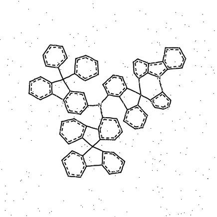 c1ccc(C2(c3ccccc3)c3ccccc3-c3ccc(N(c4cccc5c4-c4ccccc4C54c5ccccc5-c5ccccc54)c4cccc5c4-c4ccccc4C54c5ccccc5-n5c6ccccc6c6cccc4c65)cc32)cc1